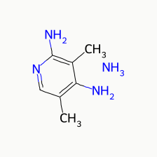 Cc1cnc(N)c(C)c1N.N